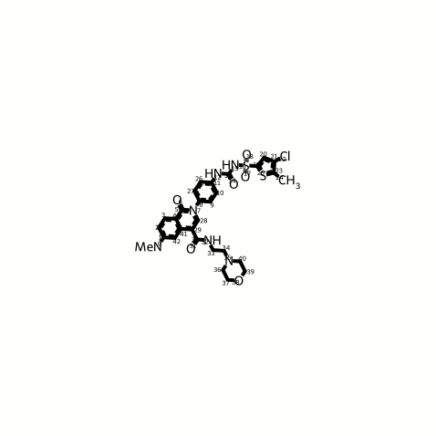 CNc1ccc2c(=O)n(-c3ccc(NC(=O)NS(=O)(=O)c4cc(Cl)c(C)s4)cc3)cc(C(=O)NCCN3CCOCC3)c2c1